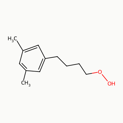 Cc1cc(C)cc(CCCCOO)c1